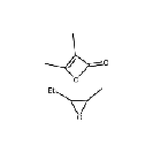 CC1=C(C)C(=O)O1.CCC1OC1C